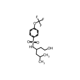 CC(C)CC(CCO)NS(=O)(=O)c1ccc(OC(F)(F)F)cc1